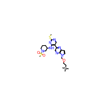 CSc1ncc(-c2cnc3c(ccn3COCC[Si](C)(C)C)n2)c(NC2CCCN(S(C)(=O)=O)C2)n1